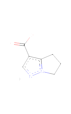 O=C(O)c1cnn2c1CCC2.[KH]